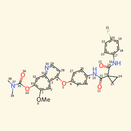 COc1cc2c(Oc3ccc(NC(=O)C4(C(=O)Nc5ccc(F)cc5)CC4)cc3)ccnc2cc1OC(=O)N(C)C